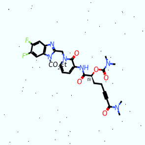 CCOC(=O)n1c(Cn2cccc(NC(=O)[C@H](CCC#CC(=O)N(C)C)OC(=O)N(C)C)c2=O)nc2cc(F)c(F)cc21